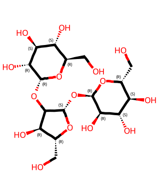 OC[C@H]1O[C@H](OC2[C@H](O[C@H]3O[C@H](CO)[C@@H](O)[C@H](O)[C@H]3O)O[C@H](CO)[C@H]2O)[C@H](O)[C@@H](O)[C@@H]1O